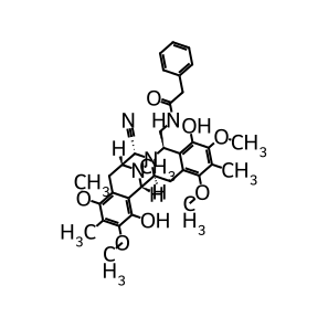 COc1c(C)c(OC)c2c(c1O)[C@H]1[C@@H]3Cc4c(OC)c(C)c(OC)c(O)c4[C@H](CNC(=O)Cc4ccccc4)N3[C@@H](C#N)[C@@H](C2)N1C